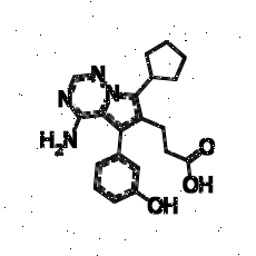 Nc1ncnn2c(C3CCCC3)c(CCC(=O)O)c(-c3cccc(O)c3)c12